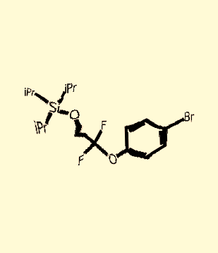 CC(C)[Si](OCC(F)(F)Oc1ccc(Br)cc1)(C(C)C)C(C)C